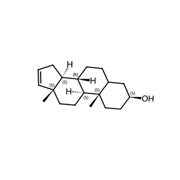 C[C@@]12C=CC[C@H]1[C@@H]1CCC3C[C@@H](O)CC[C@]3(C)[C@H]1CC2